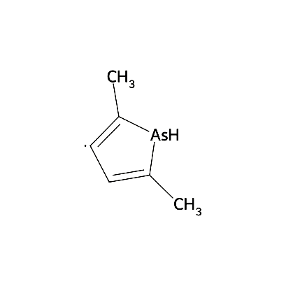 CC1=[C]C=C(C)[AsH]1